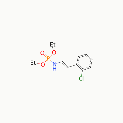 CCOP(=O)(N/C=C/c1ccccc1Cl)OCC